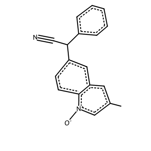 Cc1cc2cc(C(C#N)c3ccccc3)ccc2[n+]([O-])c1